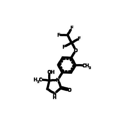 Cc1cc(N2C(=O)NCC2(C)O)ccc1OC(F)(F)C(F)F